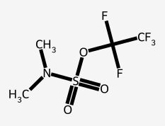 CN(C)S(=O)(=O)OC(F)(F)C(F)(F)F